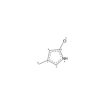 Cc1c[nH]c(Cl)c1